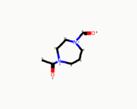 CC(=O)N1CCCN(C=O)CC1